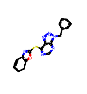 C1=Cc2nc(Sc3ncnc4c3nnn4Cc3ccccc3)oc2CC1